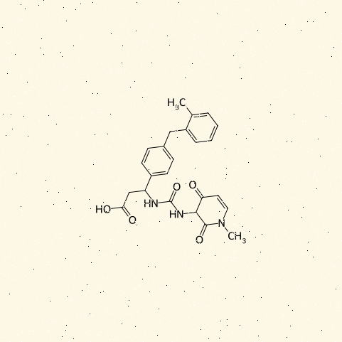 Cc1ccccc1Cc1ccc(C(CC(=O)O)NC(=O)NC2C(=O)C=CN(C)C2=O)cc1